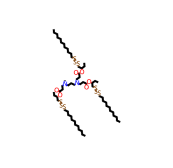 CCCCCCCCCCCCSSSCC(CC)OC(=O)CCN(C)CCCN(CCC(=O)OC(CC)CSSSCCCCCCCCCCCC)CCC(=O)OC(CC)CSSSCCCCCCCCCCCC